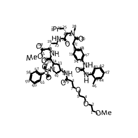 COCCOCCOCCC(=O)N[C@@H]1CC(C(=O)N[C@@H](CCNC(=O)[C@H](CC(C)C)N(C)C(=O)Cc2ccc(NC(=O)Nc3ccccc3C)cc2)C(=O)OC)N(S(=O)(=O)c2ccccc2)C1